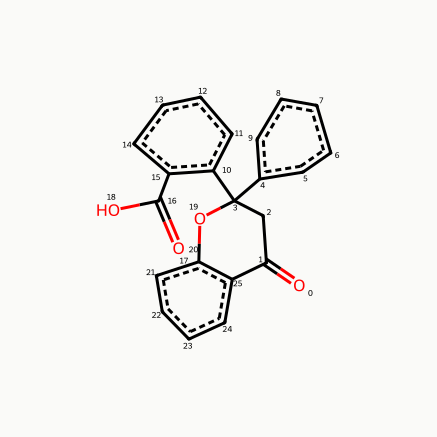 O=C1CC(c2ccccc2)(c2ccccc2C(=O)O)Oc2ccccc21